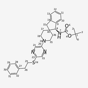 CC(C)(C)OC(=O)N[C@@H]1c2ccccc2CC12CCN(c1cnc(SCCc3ccccc3)cn1)CC2